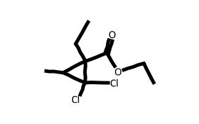 CCOC(=O)C1(CC)C(C)C1(Cl)Cl